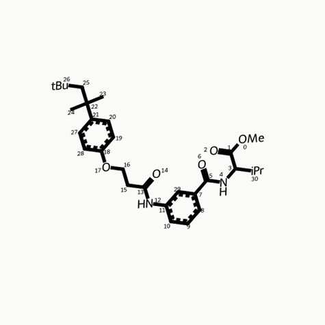 COC(=O)C(NC(=O)c1cccc(NC(=O)CCOc2ccc(C(C)(C)CC(C)(C)C)cc2)c1)C(C)C